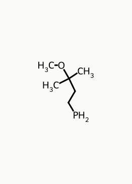 COC(C)(C)CCP